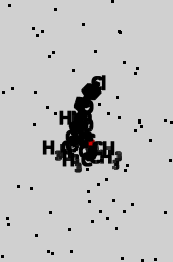 COC(=O)[C@@H]1C[C@H](N(C)C(C)(C)C)CC[C@@H]1N1CCC(NC(=O)c2ccc(-c3ccc(Cl)cc3)o2)C1=O